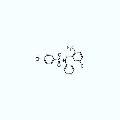 O=S(=O)(c1ccc(Cl)cc1)N(Cc1cc(Cl)ccc1C(F)(F)F)c1ccccc1